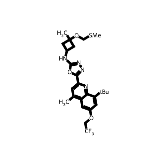 CSCOC1(C)CC(Nc2nnc(-c3cc(C)c4cc(OCC(F)(F)F)cc(C(C)(C)C)c4n3)o2)C1